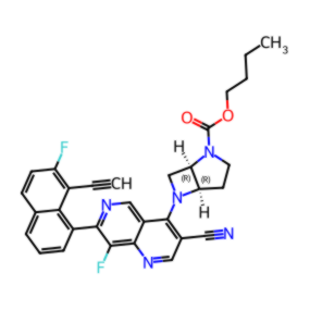 C#Cc1c(F)ccc2cccc(-c3ncc4c(N5C[C@@H]6[C@H]5CCN6C(=O)OCCCC)c(C#N)cnc4c3F)c12